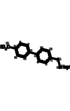 CCCCCCCSc1ccc(-c2ccc(C(=O)O)cc2)cc1